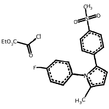 CCOC(=O)C(=O)Cl.Cc1ccc(-c2ccc(S(C)(=O)=O)cc2)n1-c1ccc(F)cc1